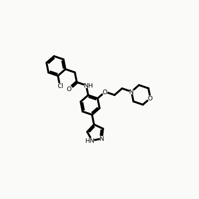 O=C(Cc1ccccc1Cl)Nc1ccc(-c2cn[nH]c2)cc1OCCN1CCOCC1